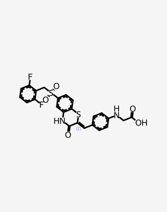 O=C(O)CNc1ccc(/C=C2\Sc3ccc(S(=O)(=O)Cc4c(F)cccc4F)cc3NC2=O)cc1